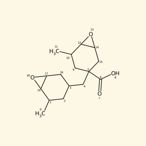 CC1CC(CC2(C(=O)O)CC(C)C3OC3C2)CC2OC12